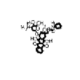 C[C@@H]1O[C@@H](O[C@H]2C[C@](O)(COC(=O)Nc3ccccc3)Cc3c(O)c4c(c(O)c32)C(=O)c2ccccc2C4=O)C[C@H](N)[C@H]1O